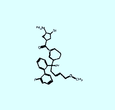 COCCCCC(O)(c1ccccc1-c1ccccc1F)C1CCCN(C(=O)C2CC(N)C(O)C2)C1